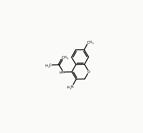 C=C(C)NC1=C(N)COc2cc(C)ccc21